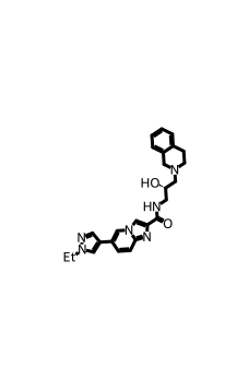 CCn1cc(-c2ccc3nc(C(=O)NC[C@H](O)CN4CCc5ccccc5C4)cn3c2)cn1